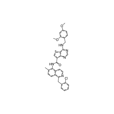 COc1ccc(CNc2ncnc3c(C(=O)Nc4c(C)ccc5c(Cc6ccccc6Cl)nccc45)csc23)c(OC)c1